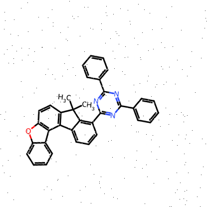 CC1(C)c2ccc3oc4ccccc4c3c2-c2cccc(-c3nc(-c4ccccc4)nc(-c4ccccc4)n3)c21